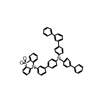 O=S1(=O)c2ccccc2N(c2cccc(-c3ccc(N(c4ccc(-c5ccccc5)cc4)c4ccc(-c5cccc(-c6ccccc6)c5)cc4)cc3)c2)c2ccccc21